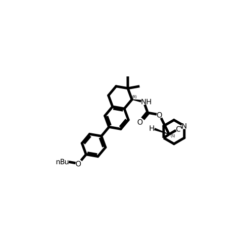 CCCCOc1ccc(-c2ccc3c(c2)CCC(C)(C)[C@H]3NC(=O)O[C@@H]2CN3CCC2CC3)cc1